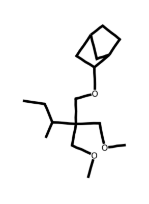 CCC(C)C(COC)(COC)COC1CC2CCC1C2